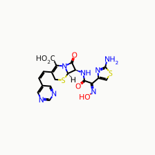 Nc1nc(/C(=N/O)C(=O)N[C@@H]2C(=O)N3C(C(=O)O)=C(/C=C\c4cncnc4)CS[C@H]23)cs1